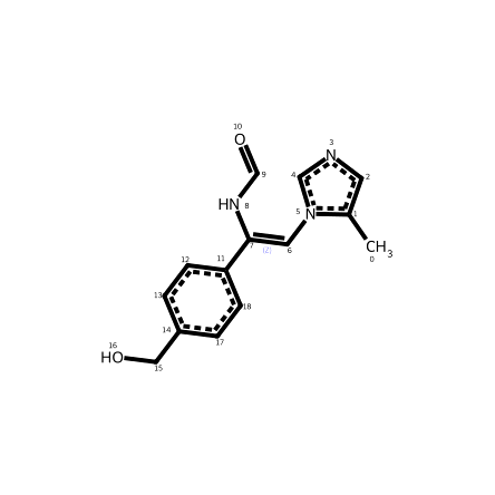 Cc1cncn1/C=C(\NC=O)c1ccc(CO)cc1